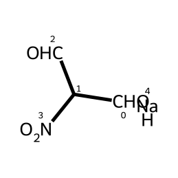 O=CC(C=O)[N+](=O)[O-].[NaH]